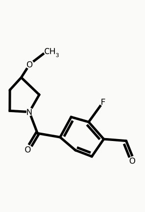 COC1CCN(C(=O)c2ccc(C=O)c(F)c2)C1